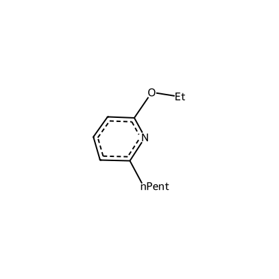 CCCCCc1cccc(OCC)n1